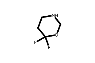 FC1(F)CCNCO1